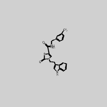 O=C(NCc1cccc(C(F)(F)F)c1)c1cn(CCc2c[nH]c3ccccc23)c(=O)s1